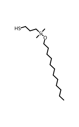 CCCCCCCCCCCCO[Si](C)(C)CCCS